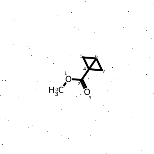 COC(=O)C12CC1C2